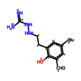 CC(C)(C)c1cc(C=O)c(O)c(CCNNC(=N)N)c1